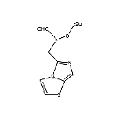 CC(C)(C)ON(C=O)Cc1ncc2sccn12